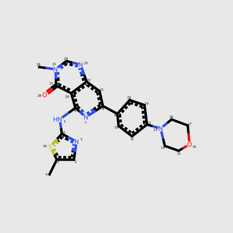 Cc1cnc(Nc2nc(-c3ccc(N4CCOCC4)cc3)cc3ncn(C)c(=O)c23)s1